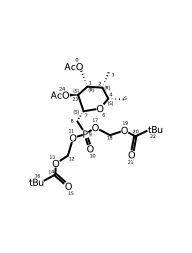 CC(=O)O[C@@H]1[C@H](C)[C@H](C)O[C@H](CP(=O)(OCOC(=O)C(C)(C)C)OCOC(=O)C(C)(C)C)[C@H]1OC(C)=O